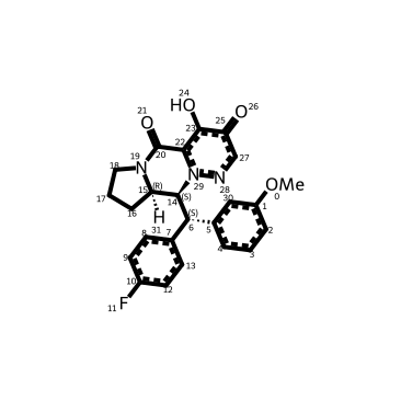 COc1cccc([C@H](c2ccc(F)cc2)[C@H]2[C@H]3CCCN3C(=O)c3c(O)c(=O)cnn32)c1